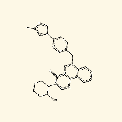 Cn1cc(-c2ccc(Cc3cc4c(=O)n(C5CCCCC5O)cnc4c4ccccc34)cn2)cn1